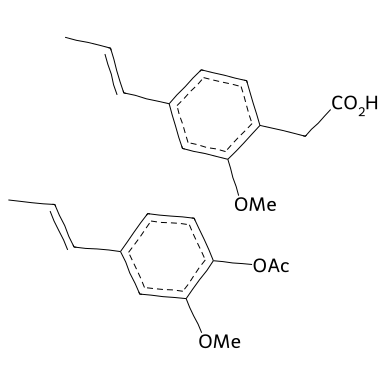 C/C=C/c1ccc(OC(C)=O)c(OC)c1.CC=Cc1ccc(CC(=O)O)c(OC)c1